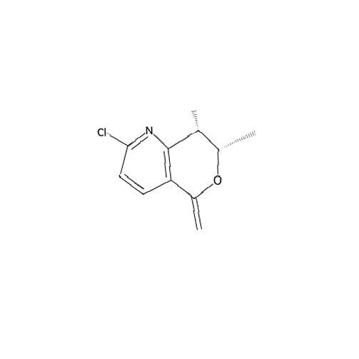 C=C1O[C@@H](C)[C@@H](C)c2nc(Cl)ccc21